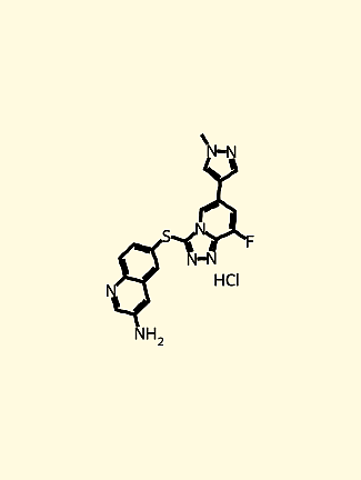 Cl.Cn1cc(-c2cc(F)c3nnc(Sc4ccc5ncc(N)cc5c4)n3c2)cn1